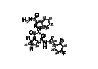 NC(=O)c1nn(CC(=O)N2[C@@H]3C[C@@H]3C[C@H]2C(=O)NC2CC2c2ccc(F)cc2F)c2ccccc12